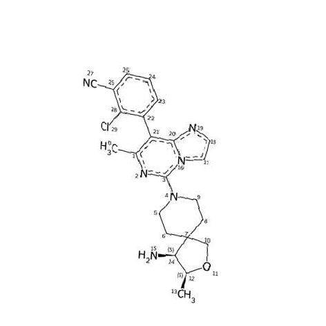 Cc1nc(N2CCC3(CC2)CO[C@@H](C)[C@H]3N)n2ccnc2c1-c1cccc(C#N)c1Cl